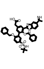 CC(=N)c1ccc2[nH]c(-c3cc(CC(=O)O)cc(-c4cc(S(=O)(=O)NC(C)(C)C)ccc4OCc4ccccc4)c3OCc3ccccc3)nc2c1